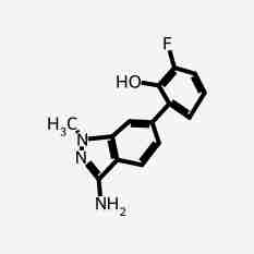 Cn1nc(N)c2ccc(-c3cccc(F)c3O)cc21